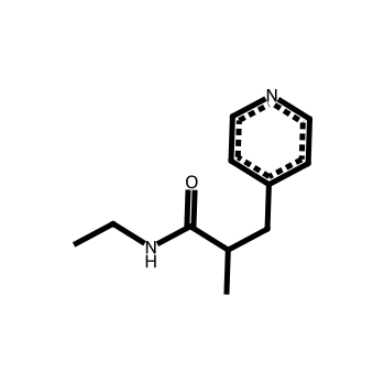 CCNC(=O)C(C)Cc1ccncc1